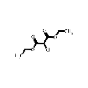 CCOC(=O)[C](Cl)C(=O)OCC